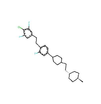 C[C@H]1CC[C@H](CCC2CCC(c3ccc(CCc4cc(F)c(Cl)c(F)c4)c(F)c3)CC2)CC1